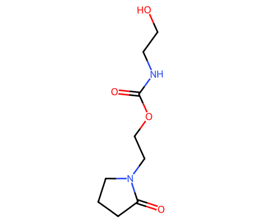 O=C(NCCO)OCCN1CCCC1=O